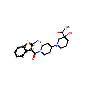 CNC(=O)C1(O)CCCN(C2CCN(C(=O)c3c(N)sc4ccccc34)CC2)C1